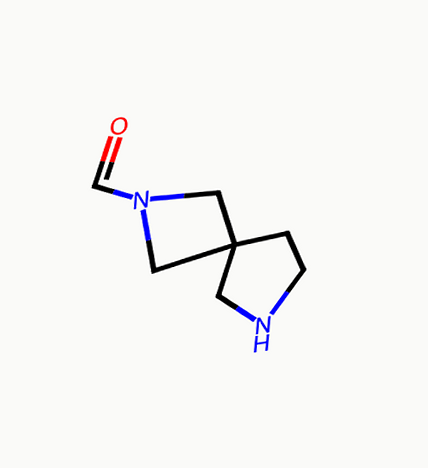 O=CN1CC2(CCNC2)C1